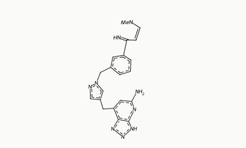 CN/C=C\C(=N)c1cccc(Cn2cc(Cc3cc(N)nc4[nH]nnc34)cn2)c1